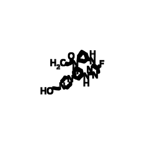 C=CC(=O)Nc1cccc(Nc2nc(Nc3cccc(N4CCN(CCO)CC4)c3)ncc2F)c1